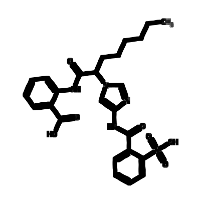 CCCCCCC(C(=O)Nc1ccccc1C(=O)O)n1cnc(NC(=O)c2ccccc2S(=O)(=O)O)c1